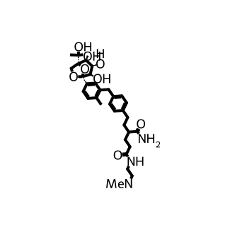 CNCCNC(=O)CCC(CCc1ccc(Cc2cc([C@]34OC[C@](C(C)(C)O)(O3)[C@@H](O)[C@H](O)[C@H]4O)ccc2C)cc1)C(N)=O